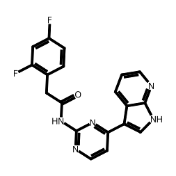 O=C(Cc1ccc(F)cc1F)Nc1nccc(-c2c[nH]c3ncccc23)n1